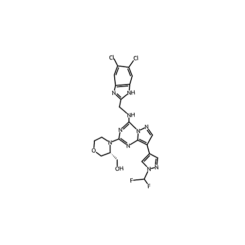 OC[C@@H]1COCCN1c1nc(NCc2nc3cc(Cl)c(Cl)cc3[nH]2)n2ncc(-c3cnn(C(F)F)c3)c2n1